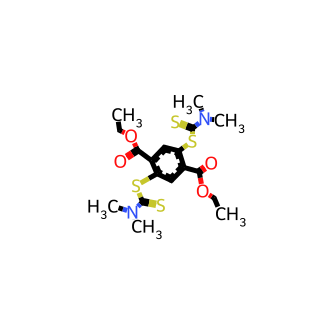 CCOC(=O)c1cc(SC(=S)N(C)C)c(C(=O)OCC)cc1SC(=S)N(C)C